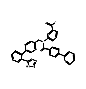 NC(=O)c1cccc(N(Cc2ccc(-c3ccccc3-c3nnn[nH]3)cc2)C(=O)c2ccc(-c3ccccn3)cc2)c1